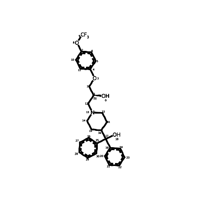 O[C@H](COc1ccc(OC(F)(F)F)cc1)CN1CCC(C(O)(c2ccccc2)c2ccccc2)CC1